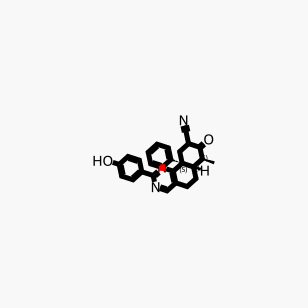 C[C@@H]1C(=O)C(C#N)C[C@]2(c3ccccc3)c3nc(-c4ccc(O)cc4)ncc3CC[C@@H]12